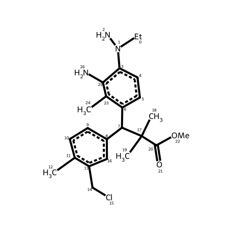 CCN(N)c1ccc(C(c2ccc(C)c(CCl)c2)C(C)(C)C(=O)OC)c(C)c1N